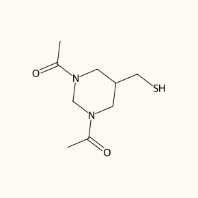 CC(=O)N1CC(CS)CN(C(C)=O)C1